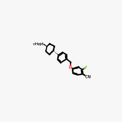 CCCCCCC[C@H]1CC[C@H](c2ccc(COc3ccc(C#N)c(F)c3)cc2)CC1